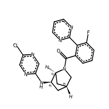 O=C(c1cccc(F)c1-c1ncccn1)N1C[C@@H]2C[C@@H](Nc3cnc(Cl)cn3)[C@@H]1C2